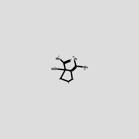 C=C(C(C)(C)C)C1(NC)CCC/C1=C(/C(C)C)C(C)(C)C